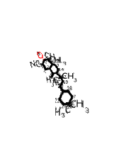 CC(=O)/C=C1/C2C=C(C#N)C(=O)C(C)(C)C2CCC1C(C)(C)CCC1CCC(C)(C)CC1